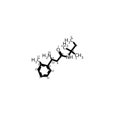 CCC(C)(C)NC(=O)C[C@H](N)c1ccccc1C